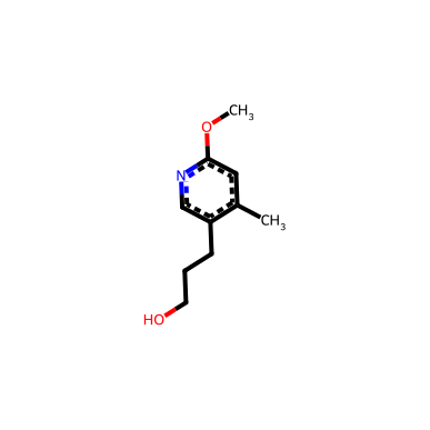 COc1cc(C)c(CCCO)cn1